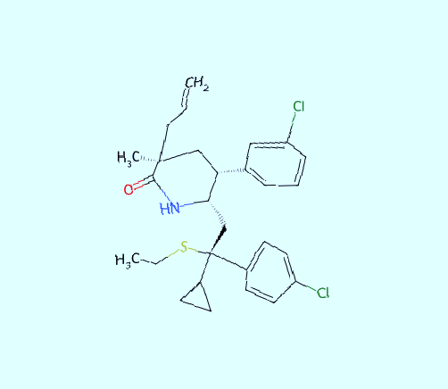 C=CC[C@@]1(C)C[C@H](c2cccc(Cl)c2)[C@H](C[C@@](SCC)(c2ccc(Cl)cc2)C2CC2)NC1=O